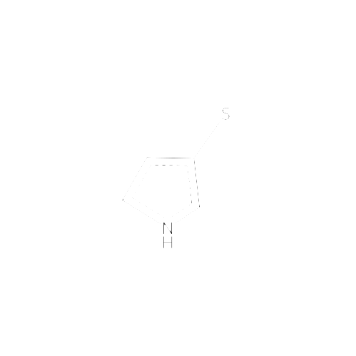 [S]c1cc[nH]c1